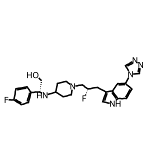 OC[C@H](NC1CCN(C[C@@H](F)Cc2c[nH]c3ccc(-n4cnnc4)cc23)CC1)c1ccc(F)cc1